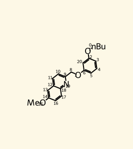 CCCCOc1cccc(OCc2ccc3cc(OC)ccc3n2)c1